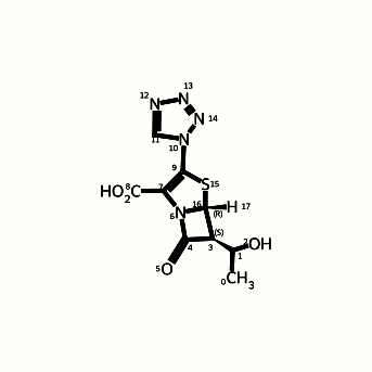 CC(O)[C@H]1C(=O)N2C(C(=O)O)=C(n3cnnn3)S[C@H]12